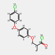 CC(COc1ccc(Oc2ccc(Cl)cc2)cc1)C(=O)Cl